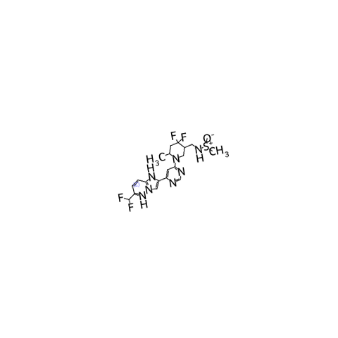 CC1CC(F)(F)C(CN[S+](C)[O-])CN1c1cc(-c2cnc(/C=C\C(=N)C(F)F)[nH]2)ncn1